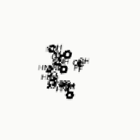 CCC[C@H](NC(=O)[C@@H]1CNC[C@@H]1NC(=O)[C@@H](NC(=O)[C@@H](NC(=O)c1cnccn1)C1CCCCC1)C1CCCCC1)C(=O)C(=O)NCC(=O)N[C@H](C(=O)N(C)C)c1ccccc1.O=C(O)C(F)(F)F